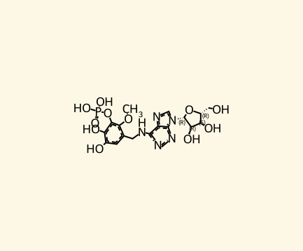 COc1c(CNc2ncnc3c2ncn3[C@@H]2O[C@H](CO)[C@@H](O)[C@H]2O)cc(O)c(O)c1OP(=O)(O)O